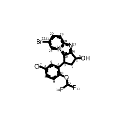 OC1CC(c2cc(Cl)ccc2OC(F)F)c2c1nc1ccc(Br)cn21